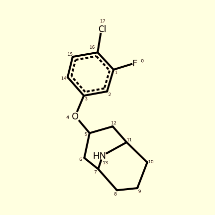 Fc1cc(OC2CC3CCCC(C2)N3)ccc1Cl